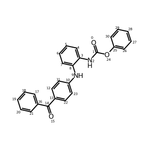 O=C(Nc1ccccc1Nc1ccc(C(=O)c2ccccc2)cc1)Oc1ccccc1